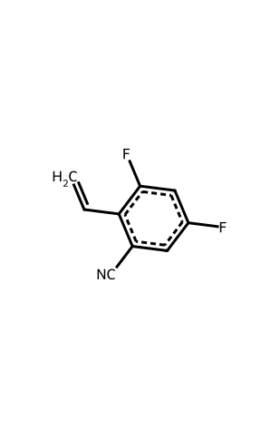 C=Cc1c(F)cc(F)cc1C#N